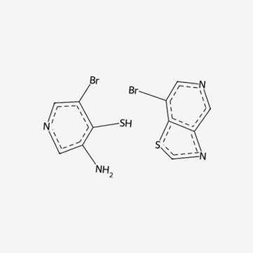 Brc1cncc2ncsc12.Nc1cncc(Br)c1S